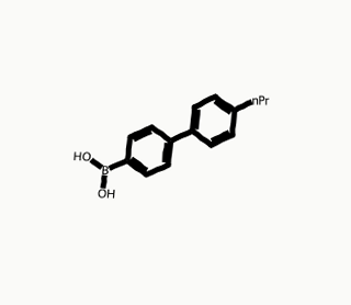 CCCc1ccc(-c2ccc(B(O)O)cc2)cc1